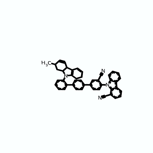 CC1C#CC2C3=C(CCC=C3)N(c3ccccc3-c3ccc(-c4ccc(-n5c6ccccc6c6cccc(C#N)c65)c(C#N)c4)cc3)C2C1